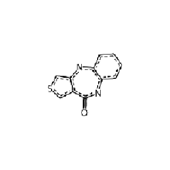 O=c1nc2ccccc2nc2cscc12